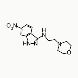 O=[N+]([O-])c1ccc2c(NCCN3CCOCC3)n[nH]c2c1